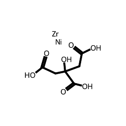 O=C(O)CC(O)(CC(=O)O)C(=O)O.[Ni].[Zr]